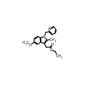 CCOC(=O)Cc1c(C)n(Cc2ccccn2)c2ccc(OC)cc12